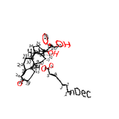 CCCCCCCCCCCCCCCC(=O)O[C@H]1C[C@@]2(C)[C@@H](CC[C@]2(O)C(=O)CO)[C@@H]2CCC3=CC(=O)CC[C@]3(C)[C@H]21